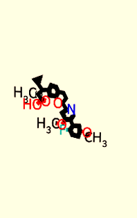 COc1ccc(F)c(-c2cnc(C3CCc4ccc(C(C5CC5)[C@H](C)C(=O)O)cc4O3)cc2OC)c1